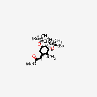 C=C1/C(=C/C(=O)OC)C[C@@H](O[Si](C)(C)C(C)(C)C)C[C@@H]1O[Si](C)(C)C(C)(C)C